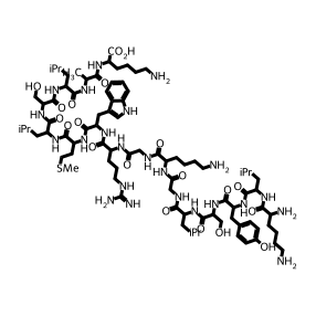 CSCCC(NC(=O)C(Cc1c[nH]c2ccccc12)NC(=O)C(CCCNC(=N)N)NC(=O)CNC(=O)C(CCCCN)NC(=O)CNC(=O)C(CC(C)C)NC(=O)C(CO)NC(=O)C(Cc1ccc(O)cc1)NC(=O)C(CC(C)C)NC(=O)C(N)CCCCN)C(=O)NC(CC(C)C)C(=O)NC(CO)C(=O)NC(CC(C)C)C(=O)NC(C)C(=O)NC(CCCCN)C(=O)O